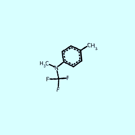 Cc1ccc(N(C)C(F)(F)F)cc1